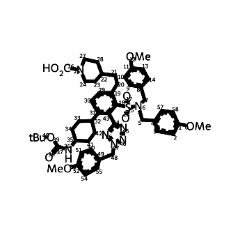 COc1ccc(CN(Cc2ccc(OC)cc2)S(=O)(=O)c2c(CCC3CCN(C(=O)O)CC3)ccc(C3CCC(NC(=O)OC(C)(C)C)CC3)c2-c2nnn(Cc3ccc(OC)cc3)n2)cc1